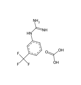 N=C(N)Nc1cccc(C(F)(F)F)c1.O=C(O)O